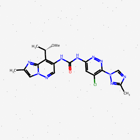 CO[C@@H](C)c1c(NC(=O)Nc2cc(Cl)c(-n3cnc(C)n3)nn2)cnn2cc(C)nc12